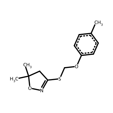 Cc1ccc(OCSC2=NOC(C)(C)C2)cc1